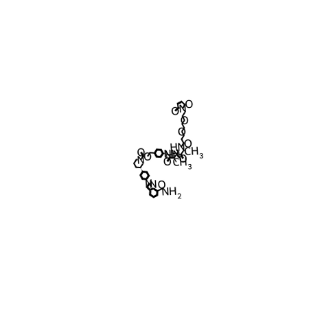 C[C@H](NC(=O)CCOCCOCCN1C(=O)C=CC1=O)C(=O)N[C@@H](C)C(=O)Nc1ccc(COC(=O)N2CCC[C@@H](c3ccc(-n4cc5cccc(C(N)=O)c5n4)cc3)C2)cc1